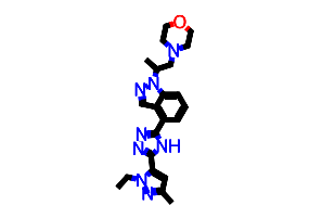 CCn1nc(C)cc1-c1nnc(-c2cccc3c2cnn3C(C)CN2CCOCC2)[nH]1